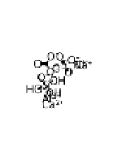 O=C([O-])[O-].O=S(=O)([O-])[O-].[Al+3].[Ca+2].[Cl-].[Na+].[O-][Si](O)(O)O